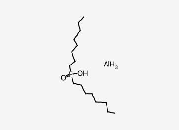 CCCCCCCCP(=O)(O)CCCCCCCC.[AlH3]